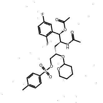 CC(=O)N[C@@H](C[C@@H](COS(=O)(=O)c1ccc(C)cc1)OC1CCCCO1)[C@H](OC(C)=O)c1cc(F)ccc1F